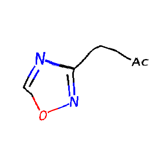 CC(=O)Cc1ncon1